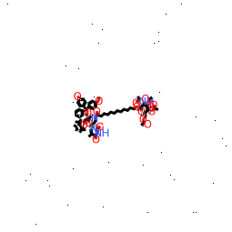 COc1ccc(C(OC[C@]2(CO[Si](C(C)C)(C(C)C)C(C)C)CN(C(=O)CCCCCCCCCCCO[C@@H]3O[C@H](COC(C)=O)[C@H](OC(C)=O)[C@H](OC(C)=O)[C@H]3NC(C)=O)C[C@H](n3cc(C)c(=O)[nH]c3=O)O2)(c2ccccc2)c2ccc(OC)cc2)cc1